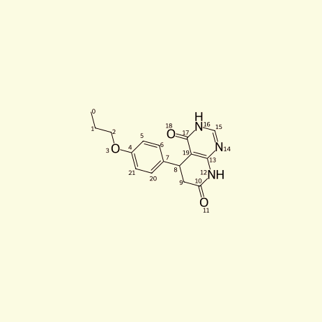 CCCOc1ccc(C2CC(=O)Nc3nc[nH]c(=O)c32)cc1